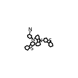 N#Cc1cccc(N(c2ccc3sc4ccccc4c3c2)c2cccc3c2c2ccccc2n3-c2ccc3sc4ccccc4c3c2)c1